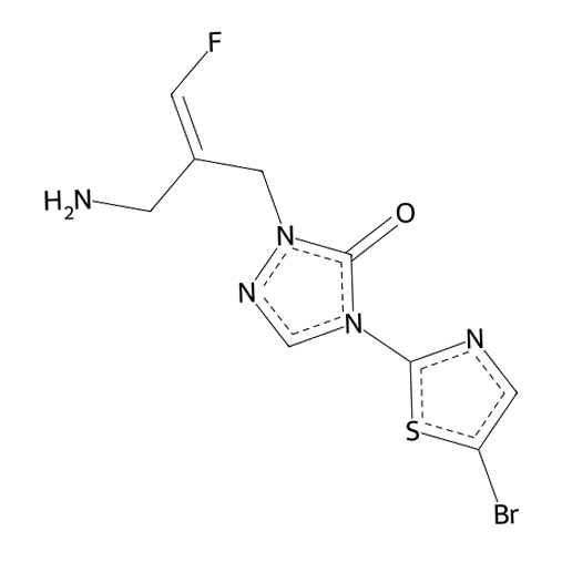 NC/C(=C/F)Cn1ncn(-c2ncc(Br)s2)c1=O